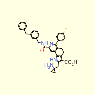 NC1(Cc2[nH]c3c(c2C(=O)O)CCc2c-3cc(C(=O)NCc3cccc(Cc4ccccc4)c3)nc2-c2ccc(F)cc2)CC1